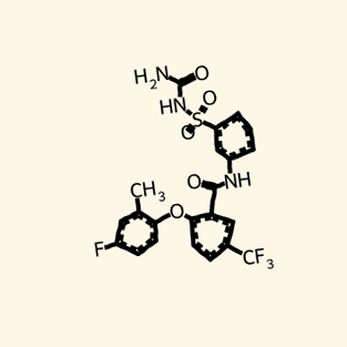 Cc1cc(F)ccc1Oc1ccc(C(F)(F)F)cc1C(=O)Nc1cccc(S(=O)(=O)NC(N)=O)c1